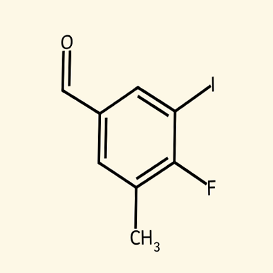 Cc1cc(C=O)cc(I)c1F